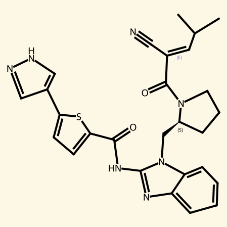 CC(C)/C=C(\C#N)C(=O)N1CCC[C@H]1Cn1c(NC(=O)c2ccc(-c3cn[nH]c3)s2)nc2ccccc21